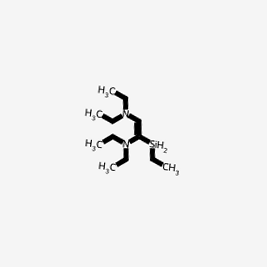 CC[SiH2]C(=CN(CC)CC)N(CC)CC